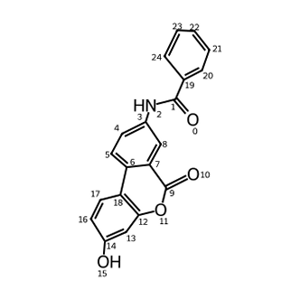 O=C(Nc1ccc2c(c1)c(=O)oc1cc(O)ccc12)c1ccccc1